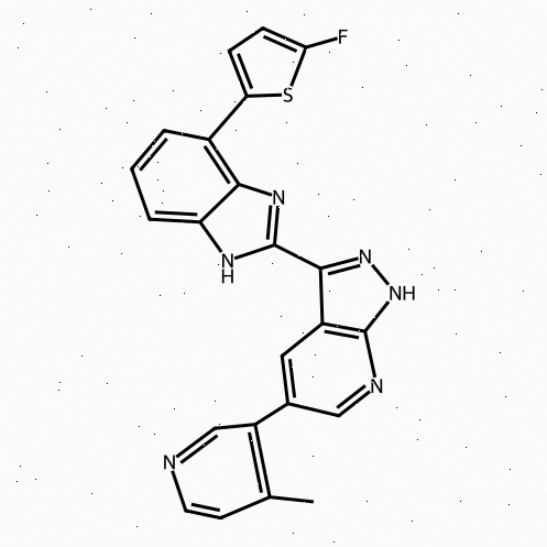 Cc1ccncc1-c1cnc2[nH]nc(-c3nc4c(-c5ccc(F)s5)cccc4[nH]3)c2c1